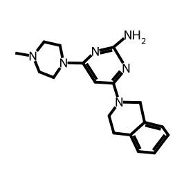 CN1CCN(c2cc(N3CCc4ccccc4C3)nc(N)n2)CC1